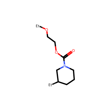 CCOCCOC(=O)N1CCCC(CC)C1